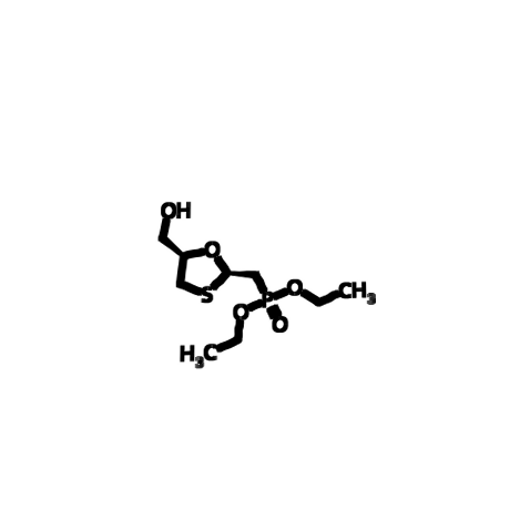 CCOP(=O)(C[C@@H]1O[C@H](CO)CS1)OCC